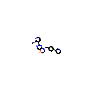 CC(C)c1ncccc1-c1ncc2c(n1)N(Cc1ccc(-c3cccnc3)cc1)CCO2